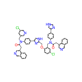 O=C(Cc1cncc2ccccc12)N(Cc1cncc(Cl)c1)c1ccc(-c2c[nH]c(COc3ccc(Cl)cc3CN(C(=O)Cc3cncc4ccccc34)c3ccc(-c4c[nH]cn4)cc3)n2)cc1